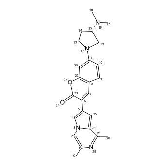 Cc1cn2cc(-c3cc4ccc(N5CC[C@H](N(C)C)C5)cc4oc3=O)cc2c(C)n1